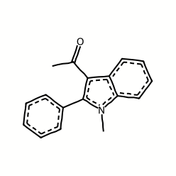 CC(=O)c1c(-c2ccccc2)n(C)c2ccccc12